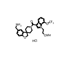 COCCn1cc(C(=O)N2CCC3(CC2)COc2ccc(CN)cc23)c2cccc(OC(F)(F)F)c21.Cl